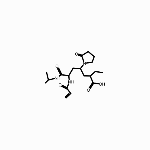 C=CC(=O)NC(CC(CC(CC)C(=O)O)N1CCCC1=O)C(=O)NC(C)C